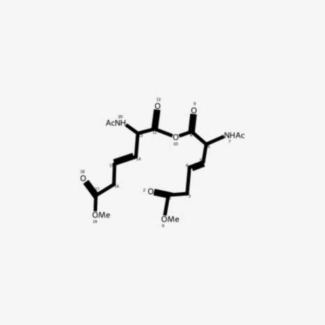 COC(=O)C/C=C/C(NC(C)=O)C(=O)OC(=O)C(/C=C/CC(=O)OC)NC(C)=O